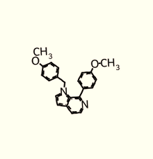 COc1ccc(Cn2ccc3ccnc(-c4ccc(OC)cc4)c32)cc1